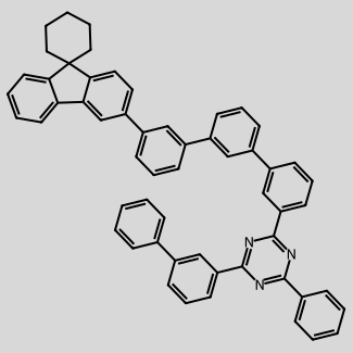 c1ccc(-c2cccc(-c3nc(-c4ccccc4)nc(-c4cccc(-c5cccc(-c6cccc(-c7ccc8c(c7)-c7ccccc7C87CCCCC7)c6)c5)c4)n3)c2)cc1